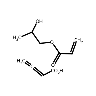 C=C=CC(=O)O.C=CC(=O)OCC(C)O